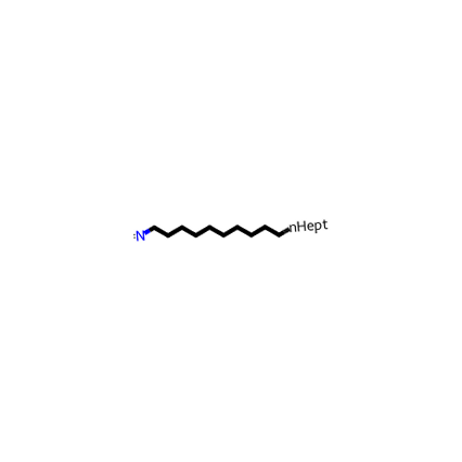 CCCCCCCCCCCCCCCCC[N]